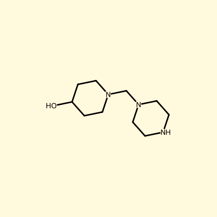 OC1CCN(CN2CCNCC2)CC1